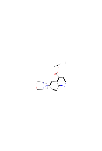 CC(C)(C)OC(=O)c1ccnc2ccc(N3C4CCC3COC4)cc12